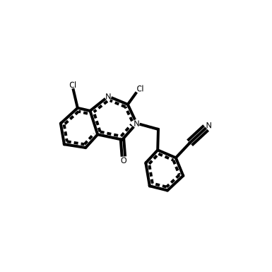 N#Cc1ccccc1Cn1c(Cl)nc2c(Cl)cccc2c1=O